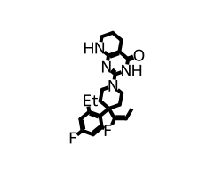 C/C=C(/C)C1(c2c(F)cc(F)cc2CC)CCN(c2nc3c(c(=O)[nH]2)CCCN3)CC1